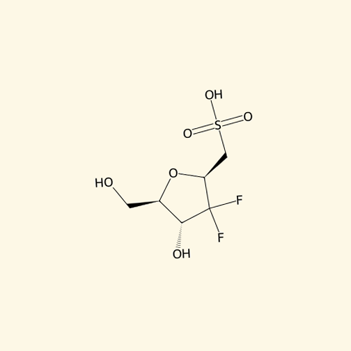 O=S(=O)(O)C[C@@H]1O[C@H](CO)[C@@H](O)C1(F)F